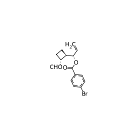 C=C[C@H](OC(=O)c1ccc(Br)cc1)[C@@H]1CC[C@H]1C=O